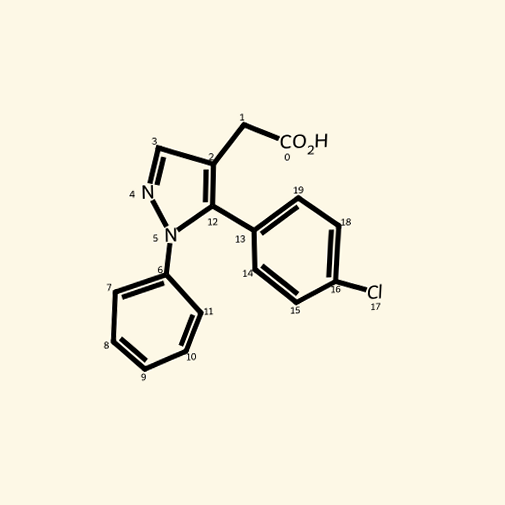 O=C(O)Cc1cnn(-c2ccccc2)c1-c1ccc(Cl)cc1